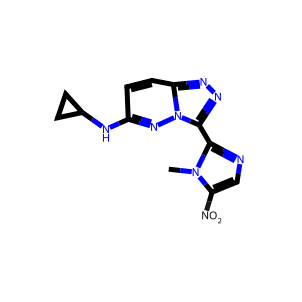 Cn1c([N+](=O)[O-])cnc1-c1nnc2ccc(NC3CC3)nn12